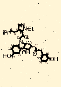 CCn1ncc(CCC(C)C)c1C(=O)CN1c2ccc(CO)cc2[C@]2(O)C[C@@H](CC(=O)Cc3cccc(O)c3)OC12